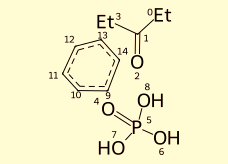 CCC(=O)CC.O=P(O)(O)O.c1ccccc1